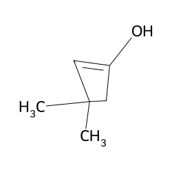 CC1(C)C=C(O)C1